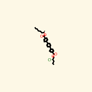 CCCCCC[C@@H](C)OC(=O)c1ccc(-c2ccc(-c3ccc(C(=O)OC[C@@H](Cl)CCC)cc3)cc2)cc1